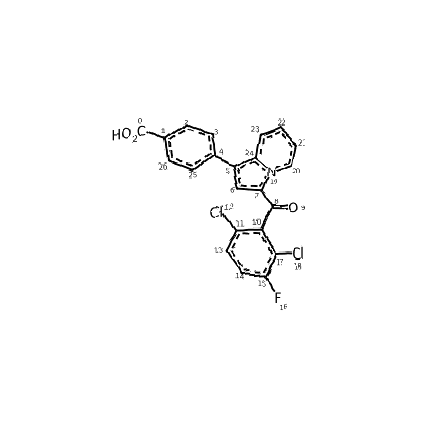 O=C(O)c1ccc(-c2cc(C(=O)c3c(Cl)ccc(F)c3Cl)n3ccccc23)cc1